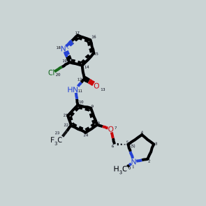 CN1CCC[C@H]1COc1cc(NC(=O)c2cccnc2Cl)cc(C(F)(F)F)c1